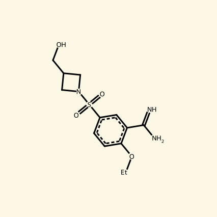 CCOc1ccc(S(=O)(=O)N2CC(CO)C2)cc1C(=N)N